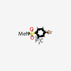 [CH2]NS(=O)(=O)c1ccc(Br)cc1C(F)(F)F